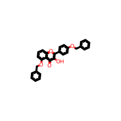 O=c1c(O)c(-c2ccc(OCc3ccccc3)cc2)oc2cccc(OCc3ccccc3)c12